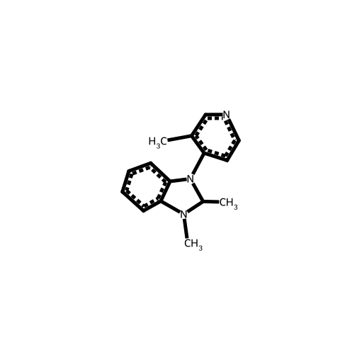 Cc1cnccc1N1c2ccccc2N(C)C1C